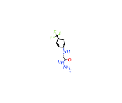 NNC(=O)CNc1ccc(C(F)(F)F)cc1